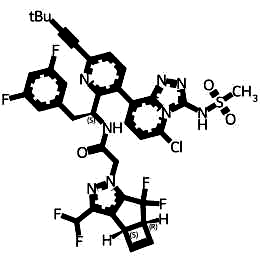 CC(C)(C)C#Cc1ccc(-c2ccc(Cl)n3c(NS(C)(=O)=O)nnc23)c([C@H](Cc2cc(F)cc(F)c2)NC(=O)Cn2nc(C(F)F)c3c2C(F)(F)[C@@H]2C=C[C@H]32)n1